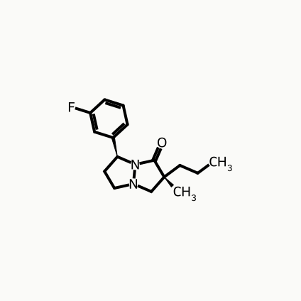 CCC[C@]1(C)CN2CC[C@@H](c3cccc(F)c3)N2C1=O